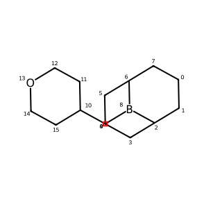 C1CC2CCCC(C1)B2CC1CCOCC1